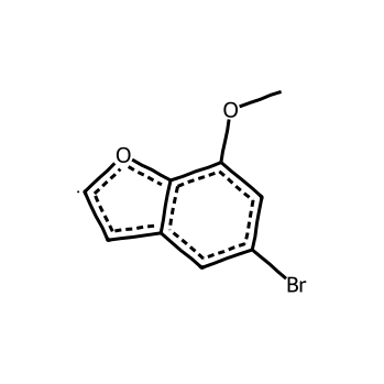 COc1cc(Br)cc2c[c]oc12